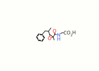 CC(Cc1ccccc1)C1OC1(C)C(=O)NCC(=O)O